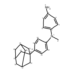 CN(c1ccc(N)cc1)c1ccc(C23CC4CC(CC(C4)C2)C3)cc1